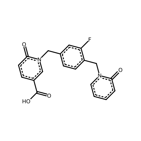 O=C(O)c1ccc(=O)n(Cc2ccc(Cn3ccccc3=O)c(F)c2)c1